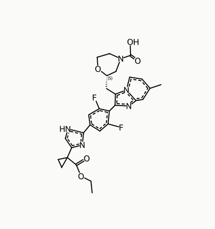 CCOC(=O)C1(c2c[nH]c(-c3cc(F)c(-c4nc5cc(C)ccn5c4C[C@H]4CN(C(=O)O)CCO4)c(F)c3)n2)CC1